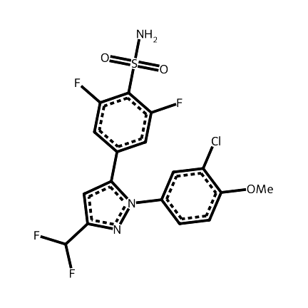 COc1ccc(-n2nc(C(F)F)cc2-c2cc(F)c(S(N)(=O)=O)c(F)c2)cc1Cl